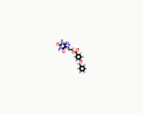 Cn1c(=O)c2c(ncn2CCOC(=O)c2ccc(OCc3ccccc3)cc2)n(C)c1=O